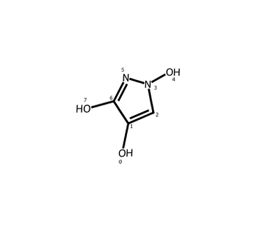 Oc1cn(O)nc1O